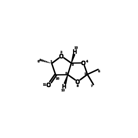 C[C@@H]1O[C@@H]2OC(C)(C)O[C@@H]2C1=O